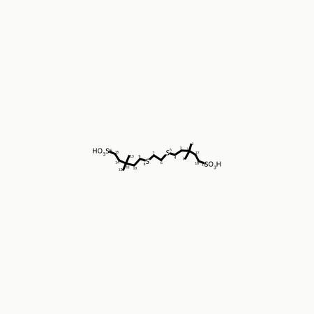 CC(C)(CCSCCSCCC(C)(C)CCS(=O)(=O)O)CCS(=O)(=O)O